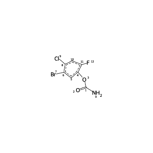 NC(=O)Oc1cc(Br)c(Cl)cc1F